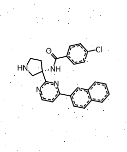 O=C(N[C@@]1(c2nccc(-c3ccc4ccccc4c3)n2)CCNC1)c1ccc(Cl)cc1